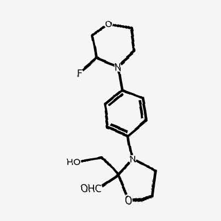 O=CC1(CO)OCCN1c1ccc(N2CCOCC2F)cc1